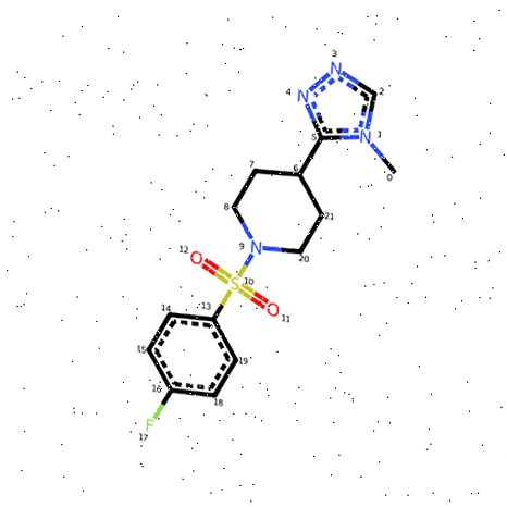 Cn1cnnc1C1CCN(S(=O)(=O)c2ccc(F)cc2)CC1